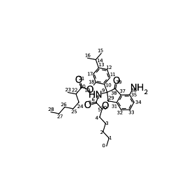 CCCCCCC(=O)NC1(c2ccc(C(C)C)cc2OC(=O)C(C)CCCCC)C(=O)c2cccc(N)c2C1=O